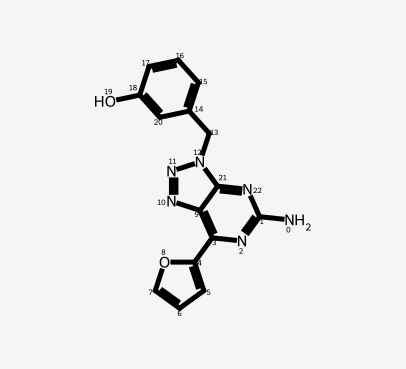 Nc1nc(-c2ccco2)c2nnn(Cc3cccc(O)c3)c2n1